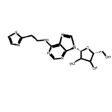 OC[C@H]1O[C@@H](n2cnc3c(NCCc4nccs4)ncnc32)C(O)C1O